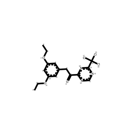 CCOc1cc(CC(=O)c2ncnc(C(Cl)(Cl)Cl)n2)cc(OCC)c1